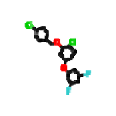 Fc1cc(F)cc(Oc2ccc(Cl)c(OCc3ccc(Cl)cc3)c2)c1